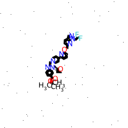 CC(C)(C)OC(=O)c1ccc2nc(CN3CCC(c4cccc(OCc5ccc6cnn(CC(F)F)c6n5)n4)CC3)n(C[C@@H]3CCO3)c2c1